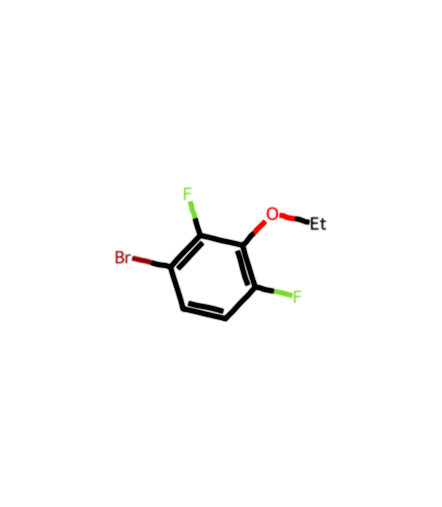 CCOc1c(F)ccc(Br)c1F